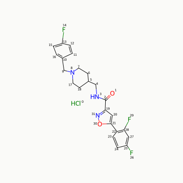 Cl.O=C(NCC1CCN(Cc2ccc(F)cc2)CC1)c1cc(-c2ccc(F)cc2F)on1